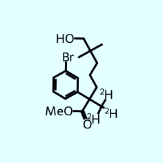 [2H]C([2H])([2H])C(CCCC(C)(C)CO)(C(=O)OC)c1cccc(Br)c1